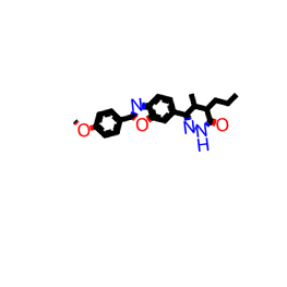 CCCC1C(=O)NN=C(c2ccc3nc(-c4ccc(OC)cc4)oc3c2)C1C